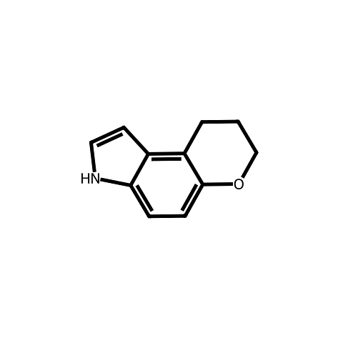 c1cc2c3c(ccc2[nH]1)OCCC3